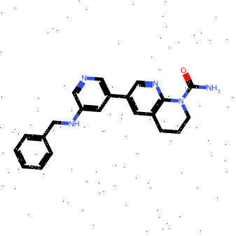 NC(=O)N1CCCc2cc(-c3cncc(NCc4ccccc4)c3)cnc21